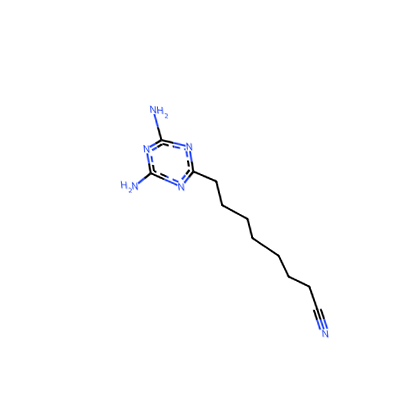 N#CCCCCCCCc1nc(N)nc(N)n1